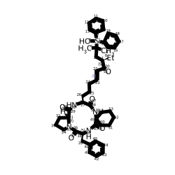 CC[C@@H](CC(C)(C)[Si](O)(c1ccccc1)c1ccccc1)C(=O)/C=C/CCC[C@@H]1NC(=O)[C@H]2CCCN2C(=O)[C@H](Cc2ccccc2)NC(=O)C2(CCCCC2)NC1=O